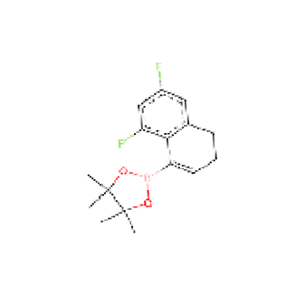 CC1(C)OB(C2=CCCc3cc(F)cc(F)c32)OC1(C)C